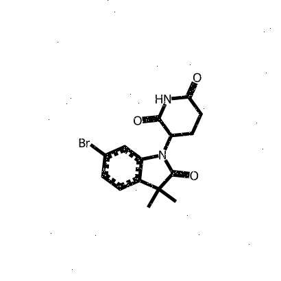 CC1(C)C(=O)N(C2CCC(=O)NC2=O)c2cc(Br)ccc21